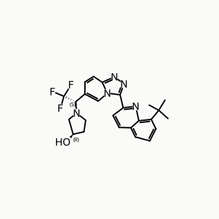 CC(C)(C)c1cccc2ccc(-c3nnc4ccc([C@H](N5CC[C@@H](O)C5)C(F)(F)F)cn34)nc12